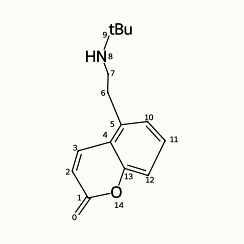 C=C1C=Cc2c(CCNC(C)(C)C)cccc2O1